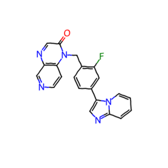 O=c1cnc2cnccc2n1Cc1ccc(-c2cnc3ccccn23)cc1F